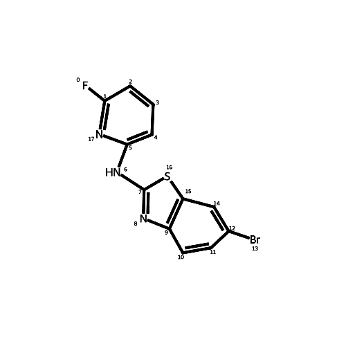 Fc1cccc(Nc2nc3ccc(Br)cc3s2)n1